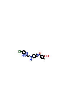 Cc1ccc(C(=O)N2CC3(CCC(NCCc4nc5ccc(Cl)cc5[nH]4)CC3)C2)cc1O